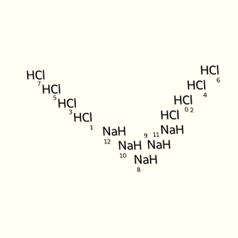 Cl.Cl.Cl.Cl.Cl.Cl.Cl.Cl.[NaH].[NaH].[NaH].[NaH].[NaH]